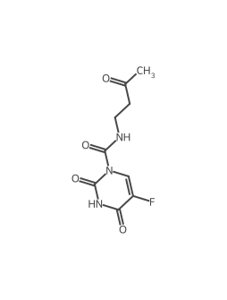 CC(=O)CCNC(=O)n1cc(F)c(=O)[nH]c1=O